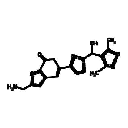 Cc1noc(C)c1C(O)c1ccc(C2=Cc3cc(CN)oc3C(=O)C2)s1